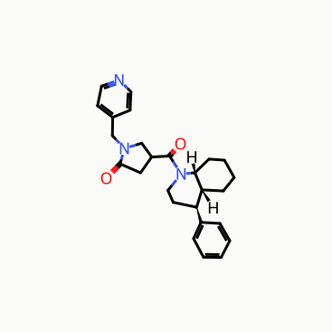 O=C1CC(C(=O)N2CC[C@H](c3ccccc3)[C@H]3CCCC[C@H]32)CN1Cc1ccncc1